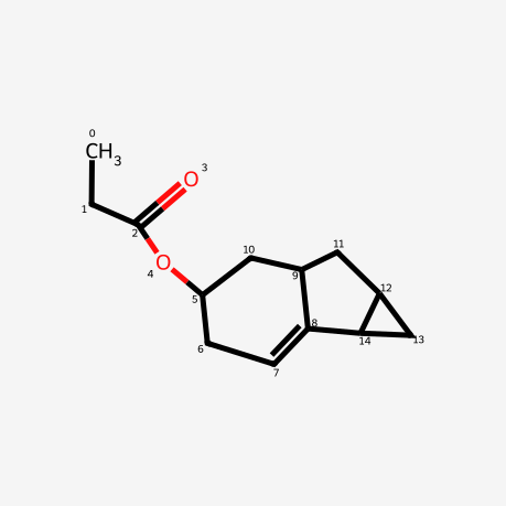 CCC(=O)OC1CC=C2C(C1)CC1CC21